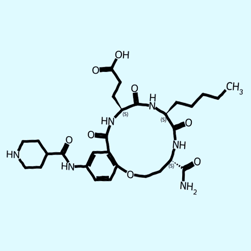 CCCCC[C@@H]1NC(=O)[C@H](CCC(=O)O)NC(=O)c2cc(NC(=O)C3CCNCC3)ccc2OCC[C@@H](C(N)=O)NC1=O